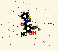 N#Cc1cc(C(=O)N2CSc3ccccc32)cc(C(F)(F)F)c1O